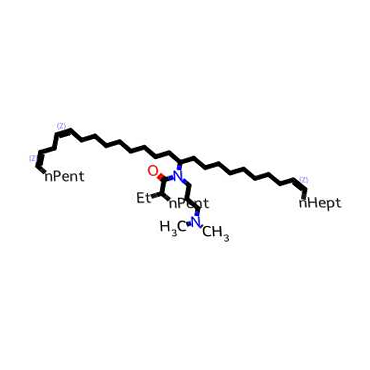 CCCCC/C=C\C/C=C\CCCCCCCCC(CCCCCCCC/C=C\CCCCCCC)N(CCCN(C)C)C(=O)C(CC)CCCCC